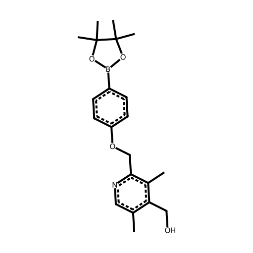 Cc1cnc(COc2ccc(B3OC(C)(C)C(C)(C)O3)cc2)c(C)c1CO